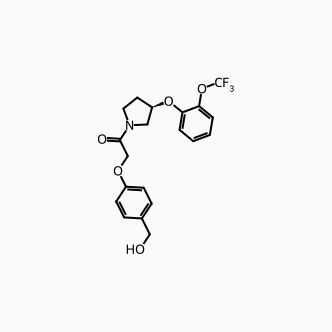 O=C(COc1ccc(CO)cc1)N1CC[C@@H](Oc2ccccc2OC(F)(F)F)C1